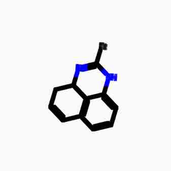 CCC1=NC2CC=Cc3cccc(c32)N1